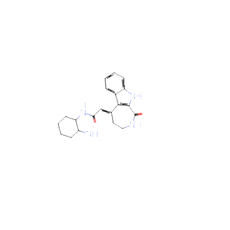 NC1CCCCC1NC(=O)C=C1CCNC(=O)c2[nH]c3ccccc3c21